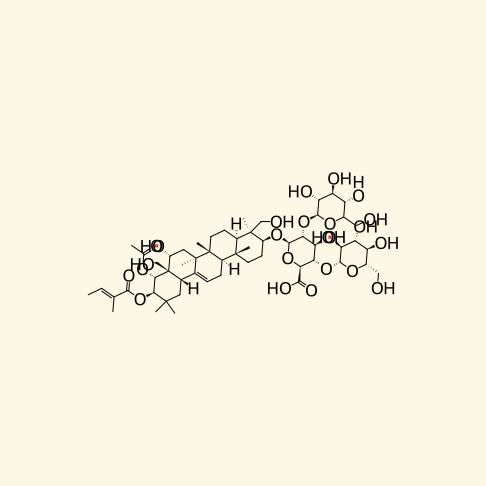 C/C=C(\C)C(=O)O[C@H]1[C@H](OC(C)=O)[C@]2(CO)[C@H](O)C[C@]3(C)C(=CC[C@@H]4[C@@]5(C)CC[C@H](O[C@@H]6O[C@H](C(=O)O)[C@@H](O[C@H]7O[C@@H](CO)[C@H](O)[C@@H](O)[C@@H]7O)[C@H](O)[C@H]6O[C@@H]6OC(CO)[C@@H](O)[C@H](O)[C@H]6O)[C@](C)(CO)[C@@H]5CC[C@]43C)[C@@H]2CC1(C)C